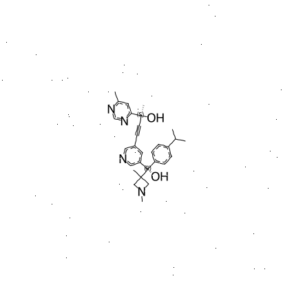 Cc1cc([C@@](C)(O)C#Cc2cncc([C@@](O)(c3ccc(C(C)C)cc3)C3(C)CN(C)C3)c2)ncn1